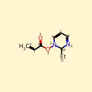 C=CC(=O)ON1C=CC=NC1CC